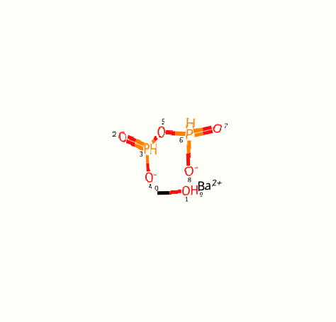 CO.O=[PH]([O-])O[PH](=O)[O-].[Ba+2]